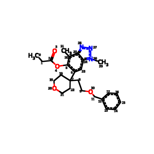 CCC(=O)Oc1c(C2(CCOCc3ccccc3)CCOCC2)cc2c(nnn2C)c1C